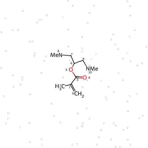 C=C(C)C(=O)OC(CNC)CNC